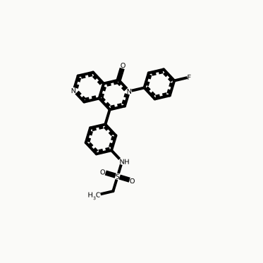 CCS(=O)(=O)Nc1cccc(-c2cn(-c3ccc(F)cc3)c(=O)c3ccncc23)c1